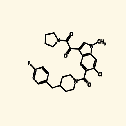 Cn1cc(C(=O)C(=O)N2CCCC2)c2cc(C(=O)N3CCC(Cc4ccc(F)cc4)CC3)c(Cl)cc21